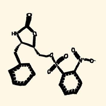 O=C1N[C@@H](Cc2ccccc2)[C@@H](COS(=O)(=O)c2ccccc2[N+](=O)[O-])O1